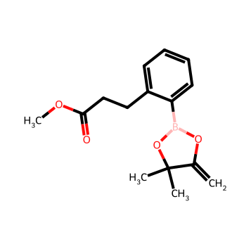 C=C1OB(c2ccccc2CCC(=O)OC)OC1(C)C